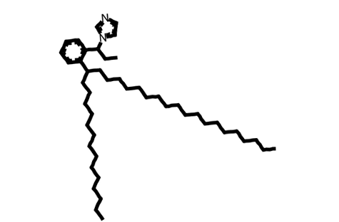 CCCCCCCCCCCCCCCCCCCC(CCCCCCCCCCCCCC)c1ccccc1C(CC)n1ccnc1